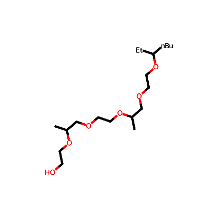 CCCCC(CC)OCCOCC(C)OCCOCC(C)OCCO